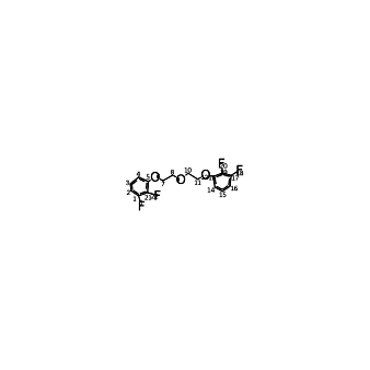 Fc1cccc(OCCOCCOc2cccc(F)c2F)c1F